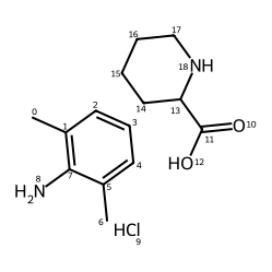 Cc1cccc(C)c1N.Cl.O=C(O)C1CCCCN1